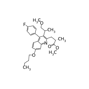 CCCCOc1ccc2c(-c3ccc(F)cc3)c(C(C)COC)c(C[C@H](C)C(=O)OC)nc2c1